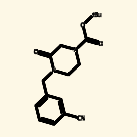 CC(C)(C)OC(=O)N1CCN(Cc2cccc(C#N)c2)C(=O)C1